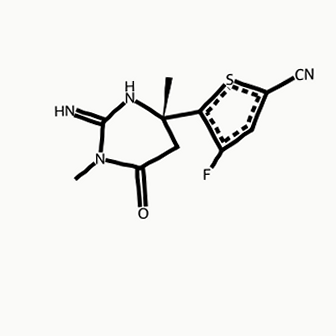 CN1C(=N)N[C@](C)(c2sc(C#N)cc2F)CC1=O